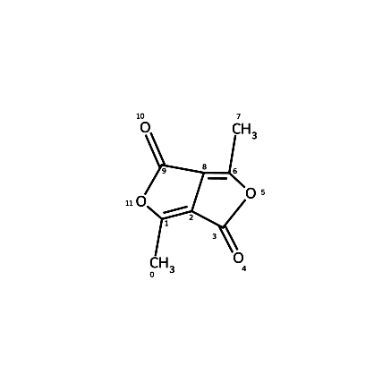 CC1=C2C(=O)OC(C)=C2C(=O)O1